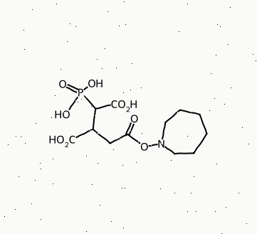 O=C(CC(C(=O)O)C(C(=O)O)P(=O)(O)O)ON1CCCCCC1